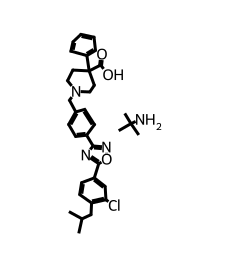 CC(C)(C)N.CC(C)Cc1ccc(-c2nc(-c3ccc(CN4CCC(C(=O)O)(c5ccccc5)CC4)cc3)no2)cc1Cl